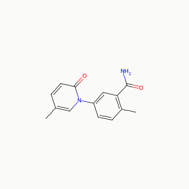 Cc1ccc(=O)n(-c2ccc(C)c(C(N)=O)c2)c1